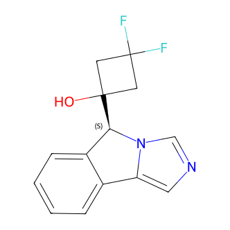 OC1([C@@H]2c3ccccc3-c3cncn32)CC(F)(F)C1